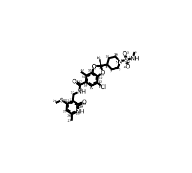 CNS(=O)(=O)N1CCC([C@]2(C)Oc3c(Cl)cc(C(=O)NCc4c(SC)cc(C)[nH]c4=O)c(C)c3O2)CC1